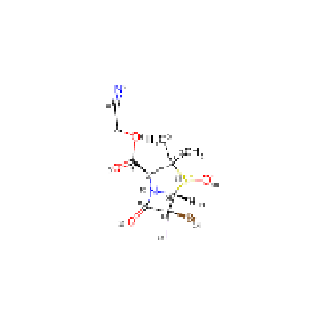 CC1(C)[C@H](C(=O)OCC#N)N2C(=O)[C@@](Br)(I)[C@H]2[S+]1[O-]